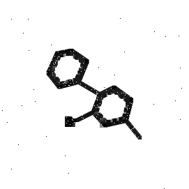 Cc1[c]c(Br)c(-c2ccccc2)cc1